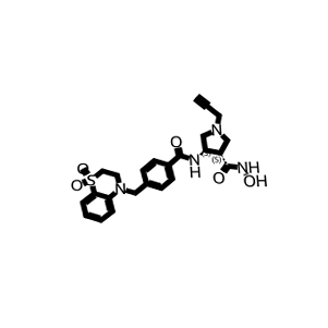 C#CCN1C[C@H](C(=O)NO)[C@H](NC(=O)c2ccc(CN3CCS(=O)(=O)c4ccccc43)cc2)C1